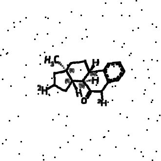 [2H]C1C[C@H]2[C@@H]3C(=O)C([2H])c4ccccc4[C@H]3CC[C@]2(C)C1